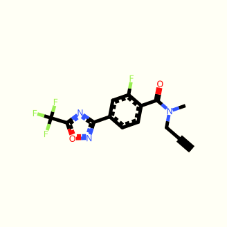 C#CCN(C)C(=O)c1ccc(-c2noc(C(F)(F)F)n2)cc1F